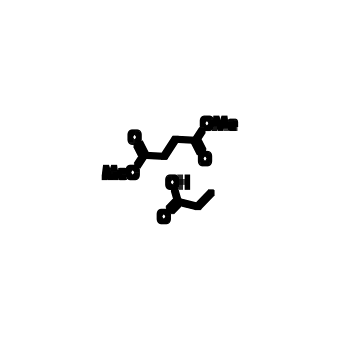 CCC(=O)O.COC(=O)CCC(=O)OC